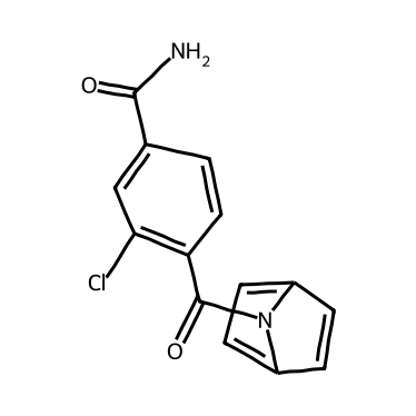 NC(=O)c1ccc(C(=O)n2c3ccc2cc3)c(Cl)c1